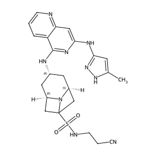 Cc1cc(Nc2cc3ncccc3c(N[C@H]3C[C@@H]4CC5(S(=O)(=O)NCCC#N)C[C@H](C3)N45)n2)n[nH]1